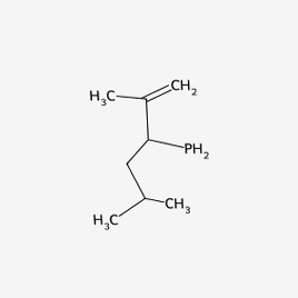 C=C(C)C(P)CC(C)C